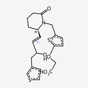 O=C(O)COc1ccc(CN2C(=O)CCC[C@@H]2/C=C/C(O)Cc2ccsc2)s1